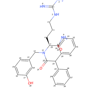 N=C(N)NCCC[C@@H](C(N)=O)N(Cc1cccc(O)c1)C(=O)C(c1ccccc1)c1ccccc1